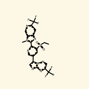 CCS(=O)(=O)c1cc(-c2cnc3nc(C(F)(F)F)cnn23)cnc1-c1nc2cc(C(F)(F)F)ncc2n1C